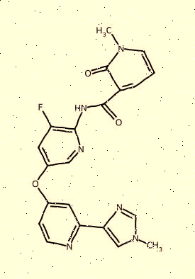 Cn1cnc(-c2cc(Oc3cnc(NC(=O)c4cccn(C)c4=O)c(F)c3)ccn2)c1